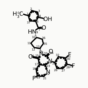 Cc1ccc(O)c(C(=O)N[C@H]2CC[C@@H](n3c(=O)c4cc(F)cnc4n(-c4ccc(F)c(F)c4)c3=O)CC2)c1